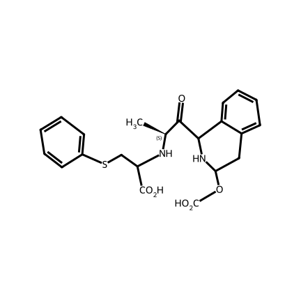 C[C@H](NC(CSc1ccccc1)C(=O)O)C(=O)C1NC(OC(=O)O)Cc2ccccc21